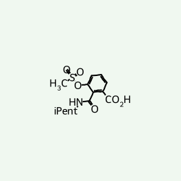 CCCC(C)NC(=O)c1c(OS(C)(=O)=O)cccc1C(=O)O